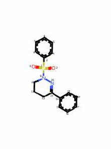 O=S(=O)(c1ccccc1)N1CCCC(c2ccccc2)=N1